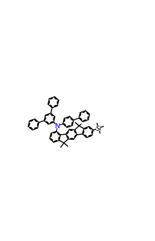 CC1(C)c2cc([Si](C)(C)C)ccc2-c2cc3c(cc21)-c1c(N(c2ccc(-c4ccccc4)cc2)c2cc(-c4ccccc4)cc(-c4ccccc4)c2)cccc1C3(C)C